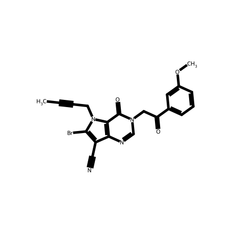 CC#CCn1c(Br)c(C#N)c2ncn(CC(=O)c3cccc(OC)c3)c(=O)c21